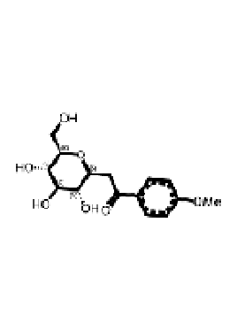 COc1ccc(C(=O)C[C@@H]2O[C@H](CO)[C@@H](O)[C@H](O)[C@H]2O)cc1